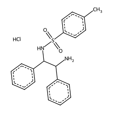 Cc1ccc(S(=O)(=O)NC(c2ccccc2)C(N)c2ccccc2)cc1.Cl